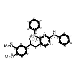 CCOC(=O)C(Cc1cnc(Nc2ccccc2)nc1Nc1ccccc1)c1ccc(OC)c(OC)c1